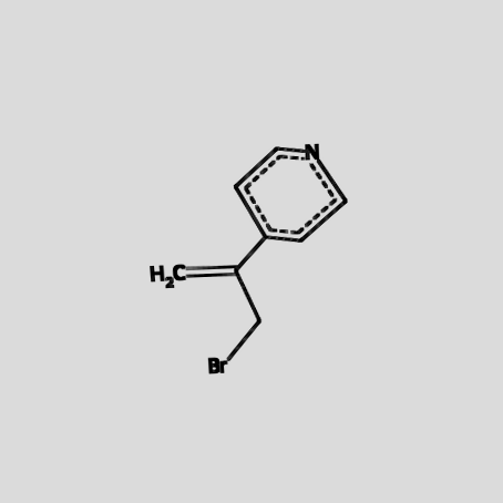 C=C(CBr)c1ccncc1